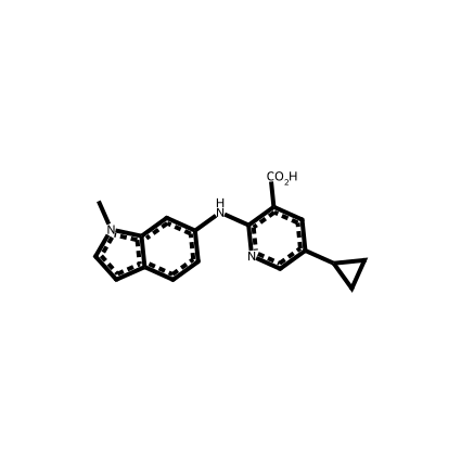 Cn1ccc2ccc(Nc3ncc(C4CC4)cc3C(=O)O)cc21